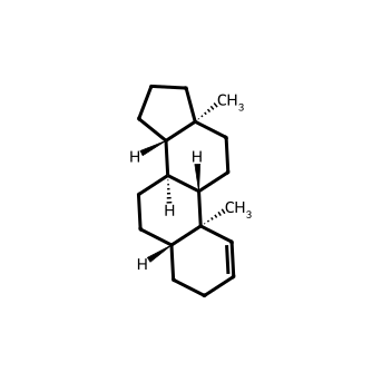 C[C@@]12CCC[C@H]1[C@@H]1CC[C@H]3CCC=C[C@]3(C)[C@H]1CC2